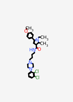 CCN1C(c2ccc(OC)cc2)=CC(C(=O)NCCCCN2CCN(c3cccc(Cl)c3Cl)CC2)C1C